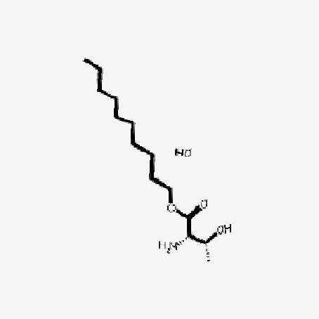 CCCCCCCCCCOC(=O)[C@@H](N)[C@@H](C)O.Cl